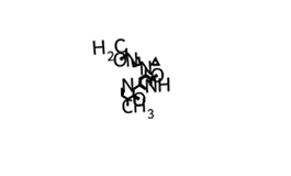 C=CC(=O)N1CC(N(c2cc(C3=NC=CC(C)C3=O)c[nH]c2=O)C2CC2)C1